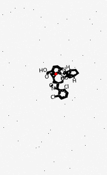 O=C(O)c1ccc2nc(C3(O)[C@@H]4CC[C@H]3CC(OCc3c(-c5c(Cl)cccc5Cl)noc3C3CC3)C4)sc2c1